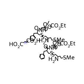 CCOC(=O)OC(C)OC(=O)CNC(=O)C(CSSCC(N)CCSC)Cc1ccccc1.CCOC(=O)OC(C)OC(=O)CNC(=O)C(CSSCC(N)CCSC)Cc1ccccc1.O=C(O)/C=C/C(=O)O